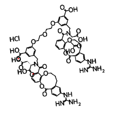 Cl.N=C(N)Nc1ccc2c(c1)CCCOc1c(cccc1C(=O)N(Cc1cc(OCCOCCOc3cc(CN(C(=O)c4cccc5c4OCCCc4cc(NC(=N)N)ccc4C(=O)O5)[C@@H](CC(=O)O)C(=O)O)cc(C(=O)O)c3)cc(C(=O)O)c1)[C@@H](CC(=O)O)C(=O)O)OC2=O